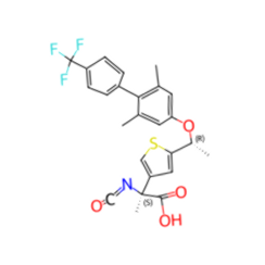 Cc1cc(O[C@H](C)c2cc([C@](C)(N=C=O)C(=O)O)cs2)cc(C)c1-c1ccc(C(F)(F)F)cc1